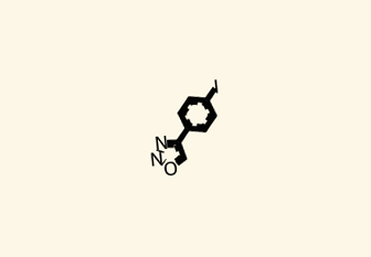 Ic1ccc(-c2conn2)cc1